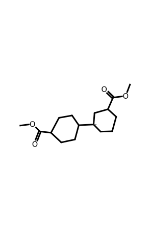 COC(=O)C1CCC([C]2CCCC(C(=O)OC)C2)CC1